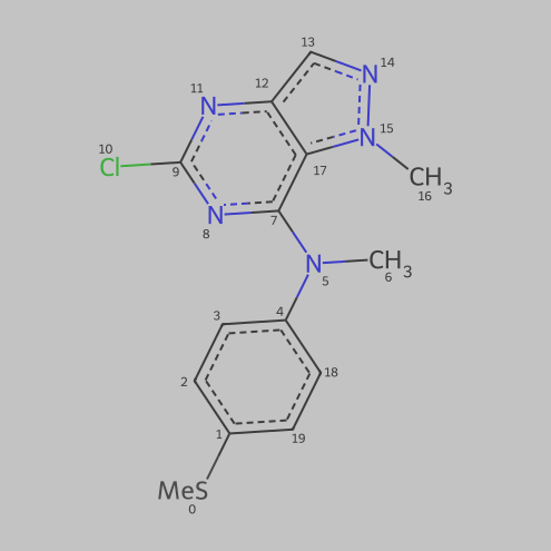 CSc1ccc(N(C)c2nc(Cl)nc3cnn(C)c23)cc1